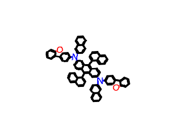 c1ccc2cc(N(c3ccc4c(c3)oc3ccccc34)c3ccc4c(-c5cccc6ccccc56)c5cc(N(c6ccc7ccccc7c6)c6ccc7c(c6)oc6ccccc67)ccc5c(-c5cccc6ccccc56)c4c3)ccc2c1